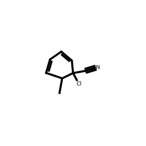 CC1C=CC=CC1(Cl)C#N